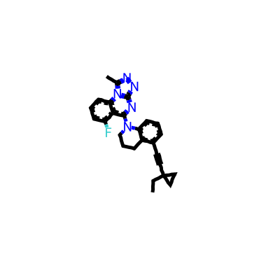 CCC1(C#Cc2cccc3c2CCCN3c2nc3nnc(C)n3c3cccc(F)c23)CC1